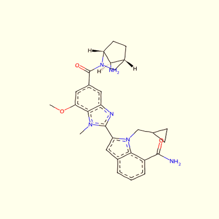 COc1cc(C(=O)N2C[C@H]3CC[C@@H]2[C@@H]3N)cc2nc(-c3cc4cccc(C(N)=O)c4n3CC3CC3)n(C)c12